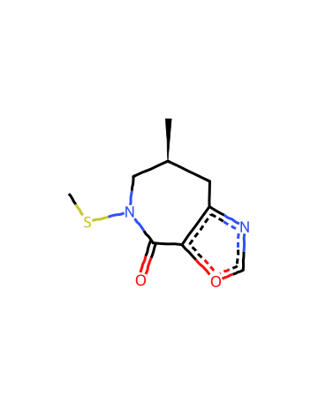 CSN1C[C@@H](C)Cc2ncoc2C1=O